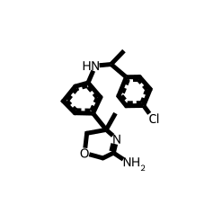 CC(Nc1cccc(C2(C)COCC(N)=N2)c1)c1ccc(Cl)cc1